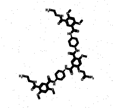 COc1cc(OC)c(C(=O)N[C@H]2CC[C@H](NC(=O)c3cc(C(=O)N[C@H]4CC[C@H](NC(=O)c5cc(C(=O)NCCN)c(OC)cc5OC)CC4)c(OCC(N)=O)cc3OC)CC2)cc1C(=O)NCCN